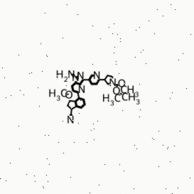 COc1cc2c(nc1-c1cccc3c1CCC3C#N)c(-c1ccc(C3CCN(C(=O)OC(C)(C)C)C3)nc1)nn2N